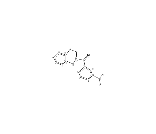 CC(C)c1cccc(C(=N)N2CCc3ccccc3C2)c1